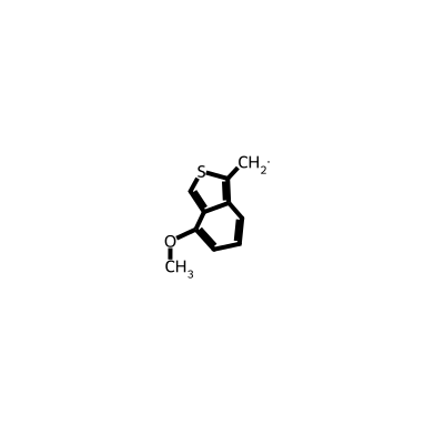 [CH2]c1scc2c(OC)cccc12